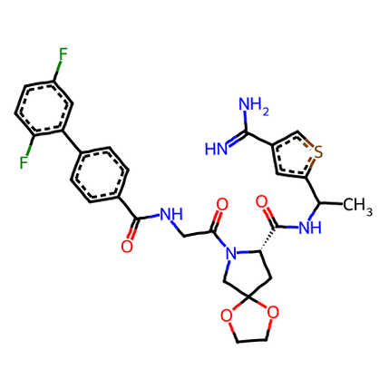 CC(NC(=O)[C@@H]1CC2(CN1C(=O)CNC(=O)c1ccc(-c3cc(F)ccc3F)cc1)OCCO2)c1cc(C(=N)N)cs1